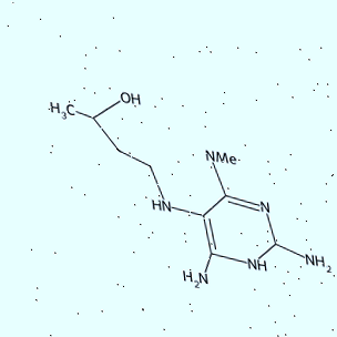 CNC1=NC(N)NC(N)=C1NCCC(C)O